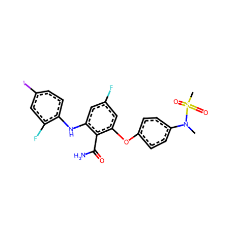 CN(c1ccc(Oc2cc(F)cc(Nc3ccc(I)cc3F)c2C(N)=O)cc1)S(C)(=O)=O